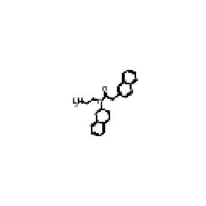 NCCN(C(=O)Cc1ccc2ccccc2c1)C1CCc2ccccc2C1